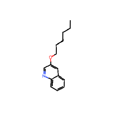 CCCCCCOc1cnc2ccccc2c1